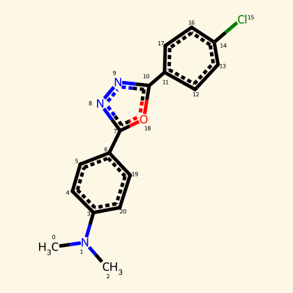 CN(C)c1ccc(-c2nnc(-c3ccc(Cl)cc3)o2)cc1